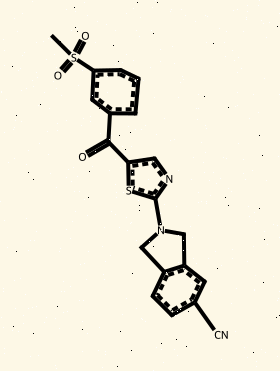 CS(=O)(=O)c1cccc(C(=O)c2cnc(N3Cc4ccc(C#N)cc4C3)s2)c1